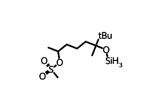 CC(CCCC(C)(O[SiH3])C(C)(C)C)OS(C)(=O)=O